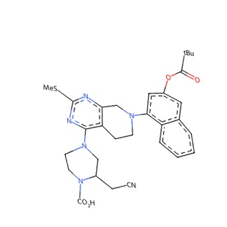 CSc1nc2c(c(N3CCN(C(=O)O)C(CC#N)C3)n1)CCN(c1cc(OC(=O)C(C)(C)C)cc3ccccc13)C2